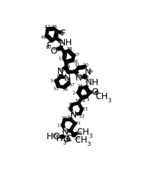 COc1cc(C2CCN(C3CCN(C(=O)O)C(C(C)(C)C)C3)CC2)ccc1Nc1nccc(-c2c(-c3cccc(C(=O)Nc4c(F)cccc4F)c3)nc3ccccn23)n1